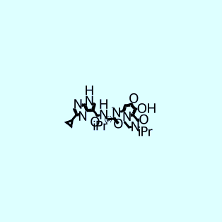 CC(C)[C@H](NC(=O)c1c[nH]c2ncc(C3CC3)nc12)C(=O)N(C)c1cc(=O)c(O)c2n1CCN(C(C)C)C2=O